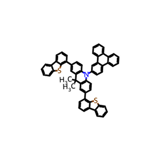 CC1(C)c2cc(-c3cccc4c3sc3ccccc34)ccc2N(c2ccc3c4ccccc4c4ccccc4c3c2)c2ccc(-c3cccc4c3sc3ccccc34)cc21